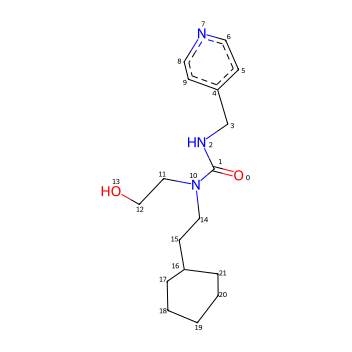 O=C(NCc1ccncc1)N(CCO)CCC1CCCCC1